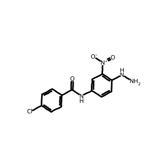 NNc1ccc(NC(=O)c2ccc(Cl)cc2)cc1[N+](=O)[O-]